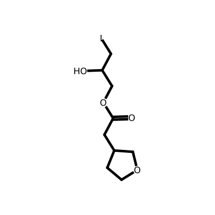 O=C(CC1CCOC1)OCC(O)CI